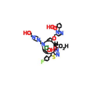 O=C(O)[C@H]1Cc2cc(ccc2OCc2ccnc(-c3ccccc3OO)n2)CN(CCN2CCN(CCO)CC2)Cc2ccc(c(O)c2Cl)-c2c(-c3ccc(F)cc3)sc3ncnc(c23)O1